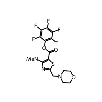 CNc1nc(CN2CCOCC2)sc1C(=O)Oc1c(F)c(F)c(F)c(F)c1F